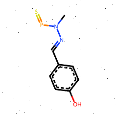 CN(/N=C/c1ccc(O)cc1)P=S